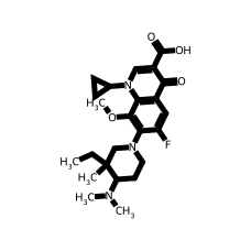 CCC1(C)CN(c2c(F)cc3c(=O)c(C(=O)O)cn(C4CC4)c3c2OC)CCC1N(C)C